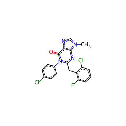 Cn1cnc2c(=O)n(-c3ccc(Cl)cc3)c(Cc3c(F)cccc3Cl)nc21